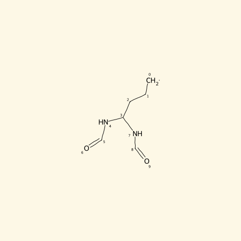 [CH2]CCC(NC=O)NC=O